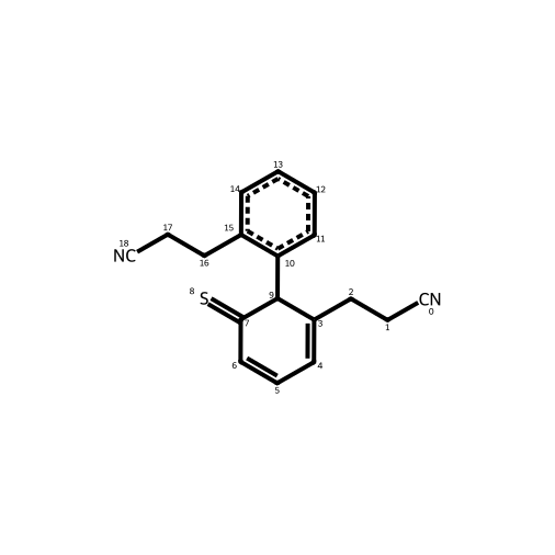 N#CCCC1=CC=CC(=S)C1c1ccccc1CCC#N